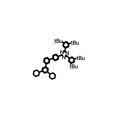 CC(C)(C)c1cc(-c2nc(-c3ccc(-c4cccc(-c5cc(C6CCCCC6)cc(C6CCCCC6)c5)c4)cc3)nc(-c3cc(C(C)(C)C)cc(C(C)(C)C)c3)n2)cc(C(C)(C)C)c1